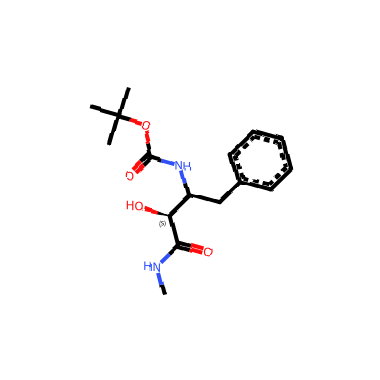 CNC(=O)[C@@H](O)C(Cc1ccccc1)NC(=O)OC(C)(C)C